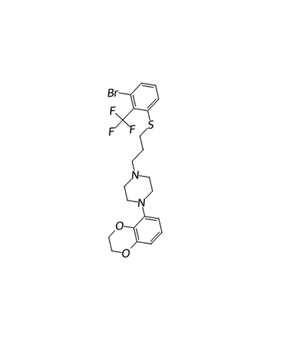 FC(F)(F)c1c(Br)cccc1SCCCN1CCN(c2cccc3c2OCCO3)CC1